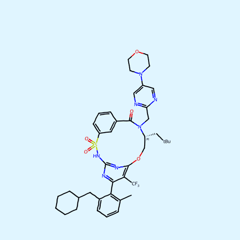 Cc1cccc(CC2CCCCC2)c1-c1nc2nc(c1C(F)(F)F)OC[C@@H](CC(C)(C)C)N(Cc1ncc(N3CCOCC3)cn1)C(=O)c1cccc(c1)S(=O)(=O)N2